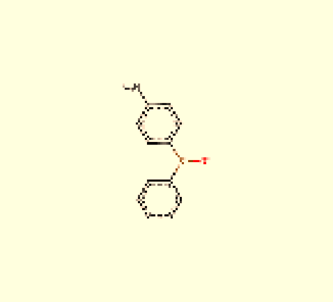 O=[N+]([O-])c1c[c]c([S+]([O-])c2ccccc2)cc1